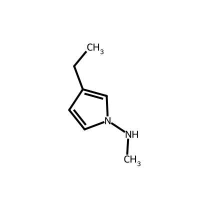 CCc1ccn(NC)c1